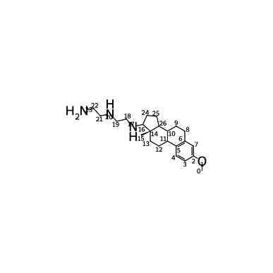 COc1ccc2c(c1)CCC1C2CC[C@]2(C)C(NCCNCCN)CCC12